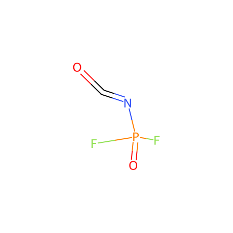 O=C=NP(=O)(F)F